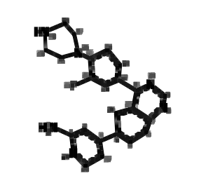 Nc1cc(-c2ccc3ncnc(-c4ccc(N5CCNCC5)c(F)c4)c3c2)ccn1